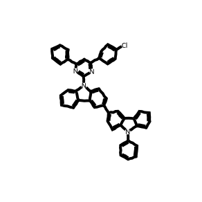 Clc1ccc(-c2cc(-c3ccccc3)nc(-n3c4ccccc4c4cc(-c5ccc6c(c5)c5ccccc5n6-c5ccccc5)ccc43)n2)cc1